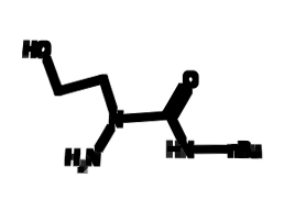 CCCCNC(=O)N(N)CCO